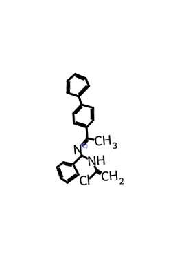 C=C(Cl)NC(/N=C(\C)c1ccc(-c2ccccc2)cc1)c1ccccc1